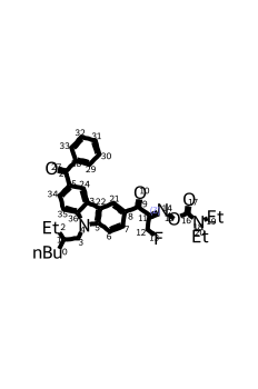 CCCCC(CC)Cn1c2ccc(C(=O)/C(CF)=N/OC(=O)N(CC)CC)cc2c2cc(C(=O)c3ccccc3)ccc21